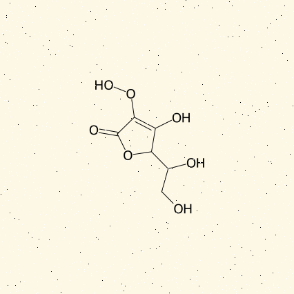 O=C1OC(C(O)CO)C(O)=C1OO